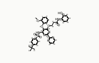 COc1ccccc1Oc1c(NS(=O)(=O)c2ccc(C(C)(C)C)cc2)nc(-c2ncccn2)nc1OCCC(=O)Nc1ccccc1O